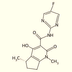 C[C@H]1CCc2c1c(O)c(C(=O)Nc1ncc(F)cn1)c(=O)n2C